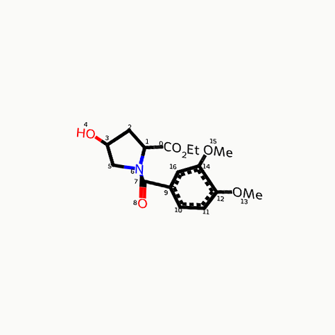 CCOC(=O)C1CC(O)CN1C(=O)c1ccc(OC)c(OC)c1